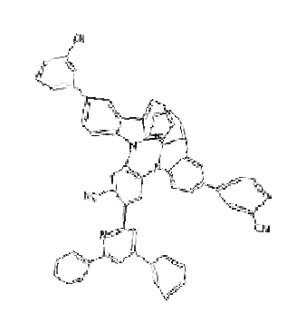 N#Cc1cccc(-c2ccc3c(c2)c2ccccc2n3-c2cc(C#N)c(-c3nc(-c4ccccc4)cc(-c4ccccc4)n3)cc2-n2c3ccccc3c3cc(-c4cccc(C#N)c4)ccc32)c1